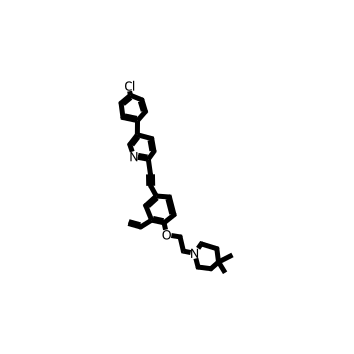 C=Cc1cc(C#Cc2ccc(-c3ccc(Cl)cc3)cn2)ccc1OCCN1CCC(C)(C)CC1